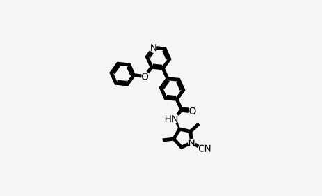 CC1CN(C#N)C(C)[C@@H]1NC(=O)c1ccc(-c2ccncc2Oc2ccccc2)cc1